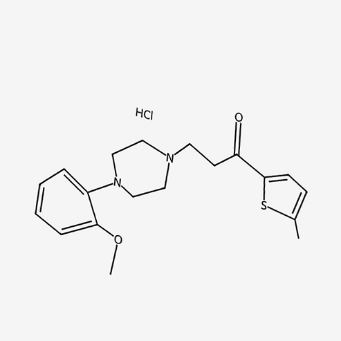 COc1ccccc1N1CCN(CCC(=O)c2ccc(C)s2)CC1.Cl